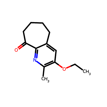 CCOc1cc2c(nc1C)C(=O)CCCC2